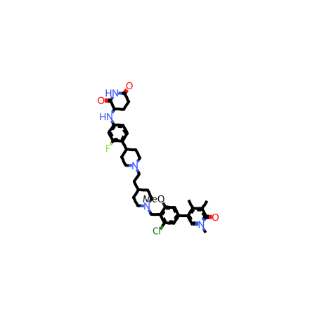 COc1cc(-c2cn(C)c(=O)c(C)c2C)cc(Cl)c1CN1CCC(CCN2CCC(c3ccc(NC4CCC(=O)NC4=O)cc3F)CC2)CC1